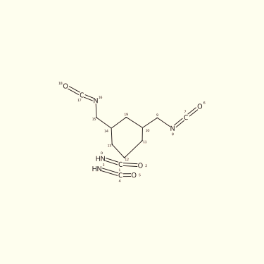 N=C=O.N=C=O.O=C=NCC1CCCC(CN=C=O)C1